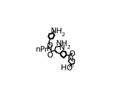 CCCN(OCc1ccc(N)cc1)C(=O)C1=Cc2ccc(C(=O)N3CC[C@@H](O)C3)cc2N=C(N)C1